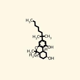 CCCCCCC(C)(C)c1cc(O)c2c(c1)OC(C)(C)[C@H]1CC[C@@H](O)C[C@H]21